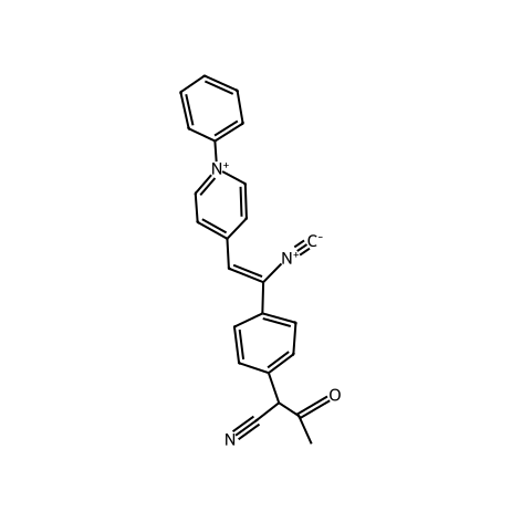 [C-]#[N+]/C(=C\c1cc[n+](-c2ccccc2)cc1)c1ccc(C(C#N)C(C)=O)cc1